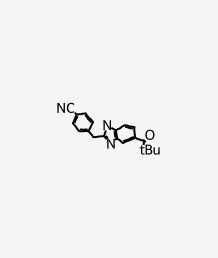 Cn1c(Cc2ccc(C#N)cc2)nc2cc(C(=O)C(C)(C)C)ccc21